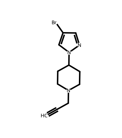 C#CCN1CCC(n2cc(Br)cn2)CC1